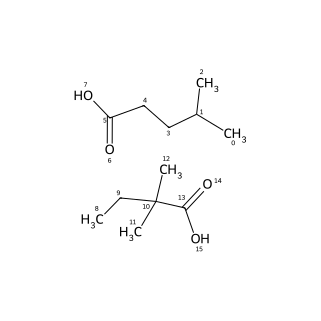 CC(C)CCC(=O)O.CCC(C)(C)C(=O)O